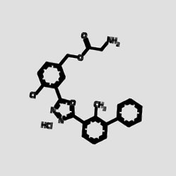 Cc1c(-c2ccccc2)cccc1-c1nnc(-c2cc(COC(=O)CN)ccc2Cl)o1.Cl